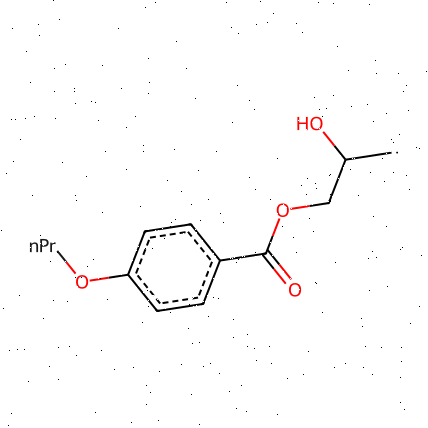 [CH2]C(O)COC(=O)c1ccc(OCCC)cc1